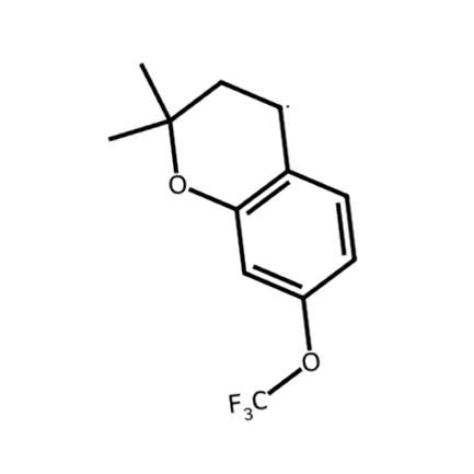 CC1(C)C[CH]c2ccc(OC(F)(F)F)cc2O1